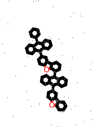 c1ccc(-c2c3ccccc3c(-c3ccc4oc5c(-c6c7ccccc7c(-c7ccc8oc9ccccc9c8c7)c7ccccc67)cccc5c4c3)c3ccccc23)cc1